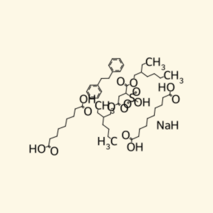 CCCCC(CC)COC(=O)CC(C(=O)OCC(CC)CCCC)S(=O)(=O)O.O=C(O)CCCCCCCC(=O)O.O=C(O)CCCCCCCCC(=O)O.[NaH].c1ccc(CCc2ccccc2)cc1